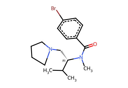 CC(C)[C@H](CN1CCCC1)N(C)C(=O)c1ccc(Br)cc1